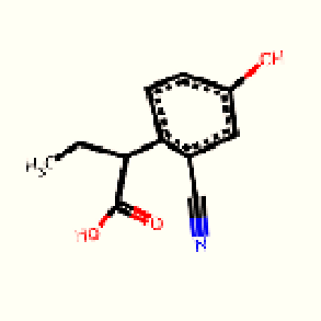 CCC(C(=O)O)c1ccc(O)cc1C#N